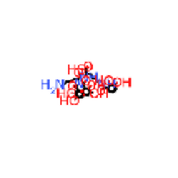 NCCCCC(C(=O)NC(CCCCNC(=O)c1cccc(O)c1O)C(=O)O)N(C(=O)c1cccc(O)c1O)C(=O)c1cccc(O)c1O